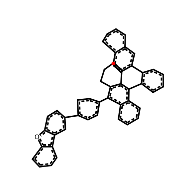 C1=Cc2c(c(-c3ccc(-c4ccc5oc6ccccc6c5c4)cc3)c3ccccc3c2-c2ccccc2-c2ccc3ccccc3c2)CC1